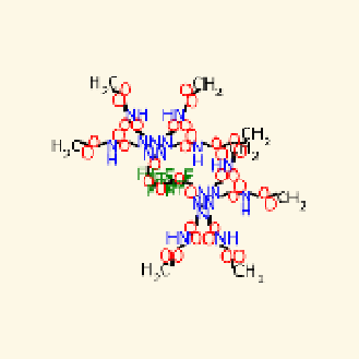 C=CC(=O)OCCNC(=O)OCCN(CCOC(=O)NCCOC(=O)C=C)c1nc(OCC(F)(F)OC(F)(F)OC(F)(F)C(F)(F)OC(F)(F)COc2nc(N(CCOC(=O)NCCOC(=O)C=C)CCOC(=O)NCCOC(=O)C=C)nc(N(CCOC(=O)NCCOC(=O)C=C)CCOC(=O)NCCOC(=O)C=C)n2)nc(N(CCOC(=O)NCCOC(=O)C=C)CCOC(=O)NCCOC(=O)C=C)n1